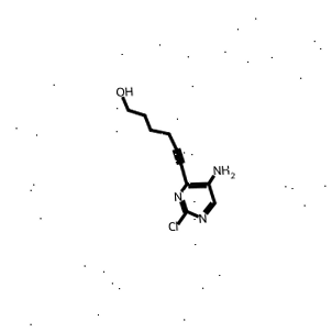 Nc1cnc(Cl)nc1C#CCCCCO